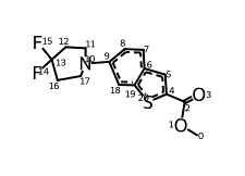 COC(=O)c1cc2ccc(N3CCC(F)(F)CC3)cc2s1